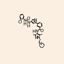 Cc1nn(CCN2CCCCC2)c(C)c1NC(=O)c1cccc(-n2cc(NC(=O)Nc3ccccc3Cl)cn2)c1